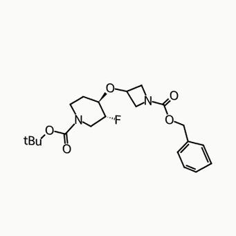 CC(C)(C)OC(=O)N1CC[C@@H](OC2CN(C(=O)OCc3ccccc3)C2)[C@H](F)C1